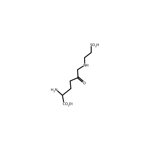 CCOC(=O)C(N)CCC(=O)CNCCS(=O)(=O)O